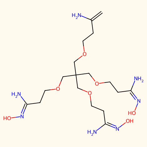 C=C(N)CCOCC(COCC/C(N)=N/O)(COCC/C(N)=N\O)COCC/C(N)=N\O